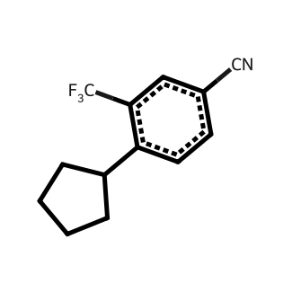 N#Cc1ccc(C2CCCC2)c(C(F)(F)F)c1